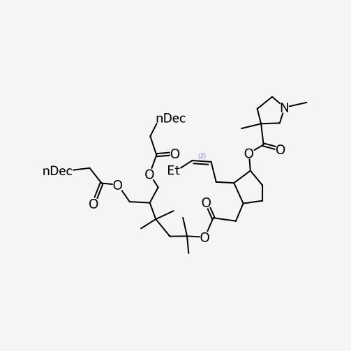 CC/C=C\CC1C(CC(=O)OC(C)(C)CC(C)(C)C(COC(=O)CCCCCCCCCCC)COC(=O)CCCCCCCCCCC)CCC1OC(=O)C1(C)CCN(C)C1